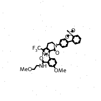 COCCNC(=O)c1cc(OC)ccc1-n1nc(C(F)(F)F)c2c1C(=O)N(c1ccc(-c3ccccc3S(C)(=O)=O)cc1)CC2